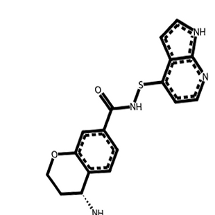 N[C@@H]1CCOc2cc(C(=O)NSc3ccnc4[nH]ccc34)ccc21